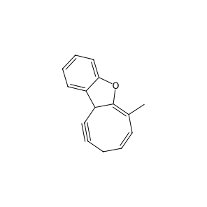 CC1=C2\Oc3ccccc3C2C#CC/C=C\1